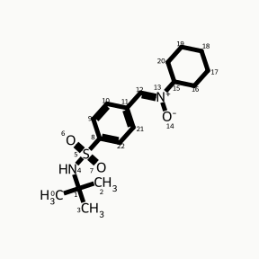 CC(C)(C)NS(=O)(=O)c1ccc(/C=[N+](\[O-])C2CCCCC2)cc1